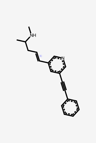 CNC(C)C/C=C/c1cncc(C#Cc2ccccc2)c1